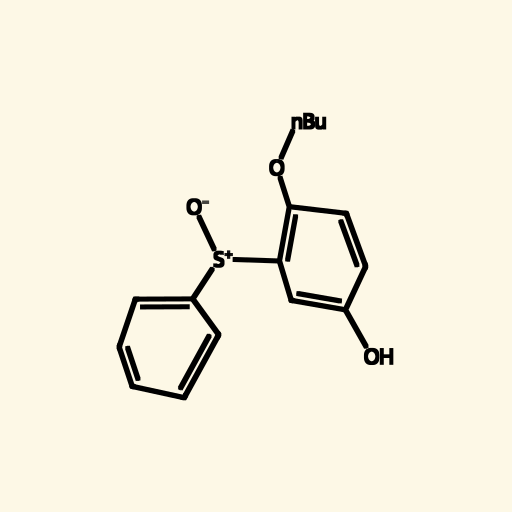 CCCCOc1ccc(O)cc1[S+]([O-])c1ccccc1